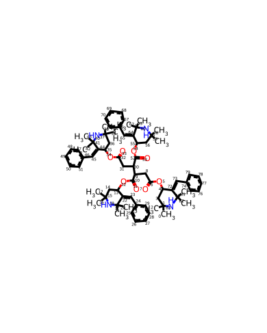 CC1(C)CC(OC(=O)CC(C(=O)OC2CC(C)(C)NC(C)(C)C2=Cc2ccccc2)C(CC(=O)OC2CC(C)(C)NC(C)(C)C2=Cc2ccccc2)C(=O)OC2CC(C)(C)NC(C)(C)C2=Cc2ccccc2)C(=Cc2ccccc2)C(C)(C)N1